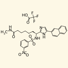 CNC(=O)CCCCC[C@H](NS(=O)(=O)c1cccc([N+](=O)[O-])c1)c1ncc(-c2ccc3ccccc3c2)[nH]1.O=C(O)C(F)(F)F